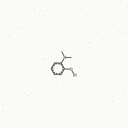 CCOc1[c]cccc1N(C)C